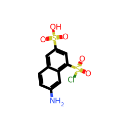 Nc1ccc2cc(S(=O)(=O)O)cc(S(=O)(=O)Cl)c2c1